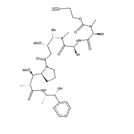 C#CCCOC(=O)N(C)[C@H](C(=O)N[C@H](C(=O)N(C)[C@H]([C@H](CC(=O)N1CCC[C@H]1[C@H](OC)[C@@H](C)C(=O)N[C@@H](C)[C@H](O)c1ccccc1)OC)[C@@H](C)CC)C(C)C)C(C)C